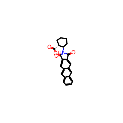 O=C(O)[C@@H]1CCCC[C@H]1N1C(=O)c2cc3cc4ccccc4cc3cc2C1=O